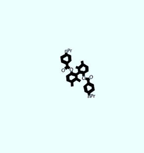 CCCc1ccc(C(=O)Oc2ccc(C)c(C)c2-c2c(OC(=O)c3ccc(CCC)cc3)ccc(C)c2C)cc1